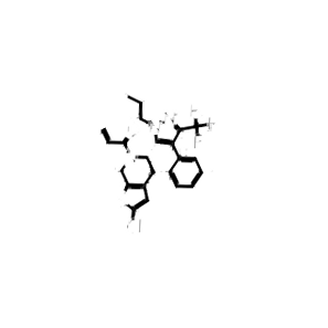 C=CC(=O)N1Cc2sc(Cl)cc2[C@@H](c2ccccc2-c2cn(CCC)nc2C(F)(F)F)C1